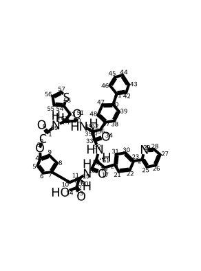 O=C1COc2ccc(cc2)C[C@@H](C(=O)O)NC(=O)[C@H](Cc2ccc(-c3ccccn3)cc2)NC(=O)[C@@H](Cc2ccc(-c3ccccc3)cc2)NC(=O)[C@H](Cc2cccs2)N1